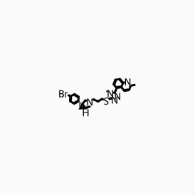 Cc1ccc2c(-c3nnc(SCCCN4C[C@H]5C[C@@]5(c5ccc(Br)cc5)C4)n3C)cccc2n1